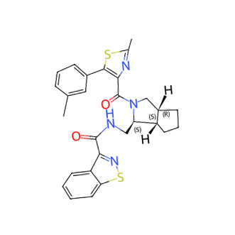 Cc1cccc(-c2sc(C)nc2C(=O)N2C[C@@H]3CCC[C@@H]3[C@H]2CNC(=O)c2nsc3ccccc23)c1